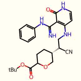 CC(C)(C)OC(=O)C1CC[C@H](C(C#N)CNc2cc[nH]c(=O)c2C(=N)Nc2ccccc2)CO1